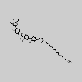 CCCCCCCCCCCCCCCC1CCC(c2ccc(-c3cc(F)c(C(F)(F)Oc4ccc(-c5cc(F)c(F)c(F)c5)c(F)c4)c(F)c3)c(F)c2)CC1